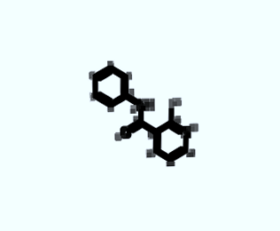 O=C(Nc1ccccc1)c1cccnc1I